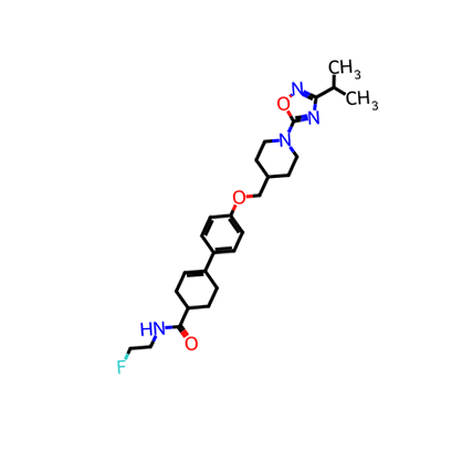 CC(C)c1noc(N2CCC(COc3ccc(C4=CCC(C(=O)NCCF)CC4)cc3)CC2)n1